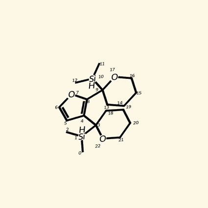 C[SiH](C)C1(c2ccoc2C2([SiH](C)C)CCCCO2)CCCCO1